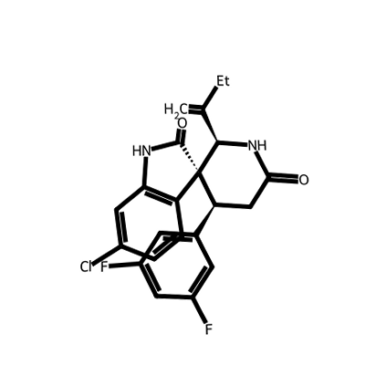 C=C(CC)[C@H]1NC(=O)C[C@@H](c2cc(F)cc(F)c2)[C@]12C(=O)Nc1cc(Cl)ccc12